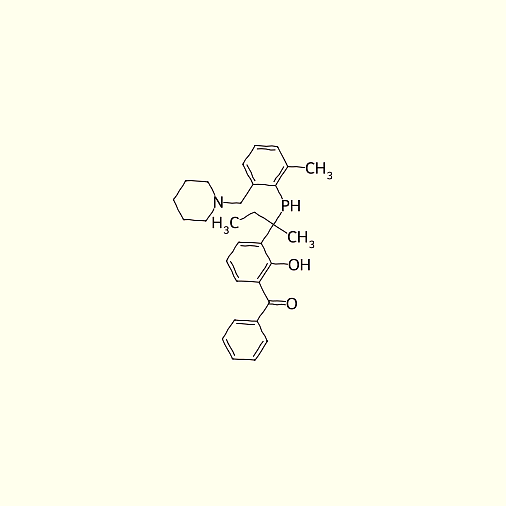 CCC(C)(Pc1c(C)cccc1CN1CCCCC1)c1cccc(C(=O)c2ccccc2)c1O